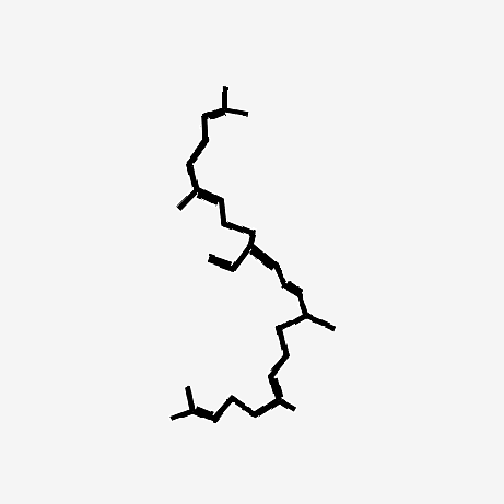 C=C/C(=C\C=C\C(C)CC/C=C(\C)CCC=C(C)C)CC/C=C(\C)CCC=C(C)C